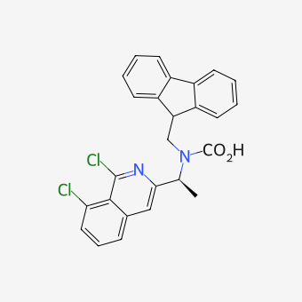 C[C@@H](c1cc2cccc(Cl)c2c(Cl)n1)N(CC1c2ccccc2-c2ccccc21)C(=O)O